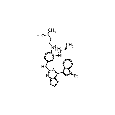 C=CC(=O)Nc1cc(Nc2nc(-c3cn(CC)c4ccccc34)c3sccc3n2)ccc1N(C)CCN(C)C